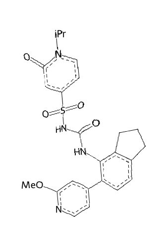 COc1cc(-c2ccc3c(c2NC(=O)NS(=O)(=O)c2ccn(C(C)C)c(=O)c2)CCC3)ccn1